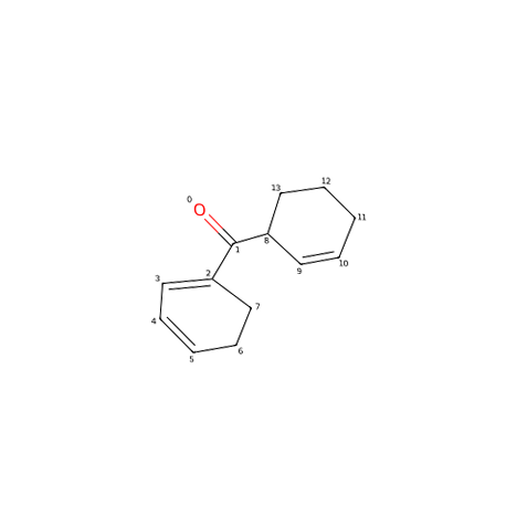 O=C(C1=CC=CCC1)C1C=CCCC1